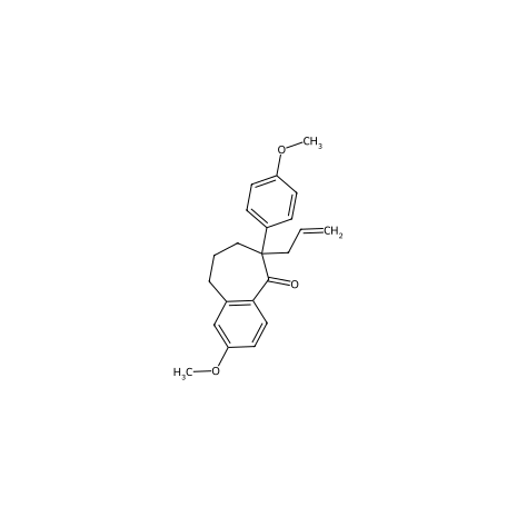 C=CCC1(c2ccc(OC)cc2)CCCc2cc(OC)ccc2C1=O